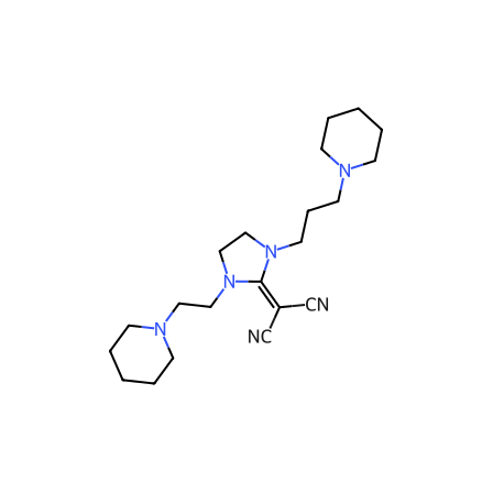 N#CC(C#N)=C1N(CCCN2CCCCC2)CCN1CCN1CCCCC1